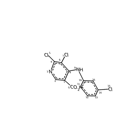 O=C(O)c1cnc(Cl)c(Cl)c1Nc1cccc(Cl)c1